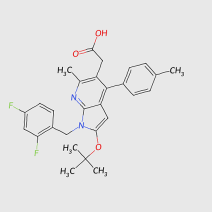 Cc1ccc(-c2c(CC(=O)O)c(C)nc3c2cc(OC(C)(C)C)n3Cc2ccc(F)cc2F)cc1